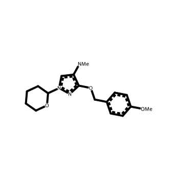 CNc1cn(C2CCCCO2)nc1OCc1ccc(OC)cc1